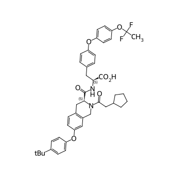 CC(F)(F)Oc1ccc(Oc2ccc(C[C@H](NC(=O)[C@@H]3Cc4ccc(Oc5ccc(C(C)(C)C)cc5)cc4CN3C(=O)CC3CCCC3)C(=O)O)cc2)cc1